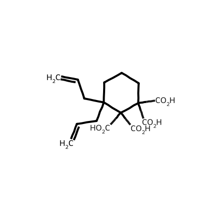 C=CCC1(CC=C)CCCC(C(=O)O)(C(=O)O)C1(C(=O)O)C(=O)O